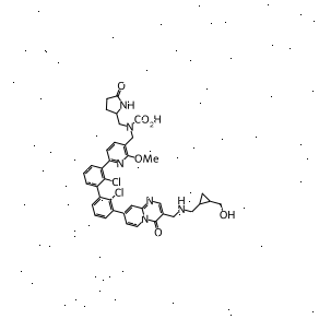 COc1nc(-c2cccc(-c3cccc(-c4ccn5c(=O)c(CNCC6CC6CO)cnc5c4)c3Cl)c2Cl)ccc1CN(CC1CCC(=O)N1)C(=O)O